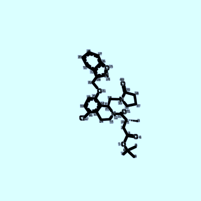 C[C@H](CC(=O)OC(C)(C)C)C(=O)N1CCc2c(Cl)ccc(OCc3noc4ccccc34)c2[C@H]1CN1CCCC1=O